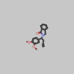 C#CCC(c1ccc(OC)c(OC)c1)N1Cc2ccccc2C1=O